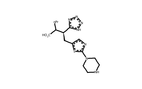 CCCC(C(=O)O)[C@H](Cc1cnc(N2CCNCC2)s1)c1nnn[nH]1